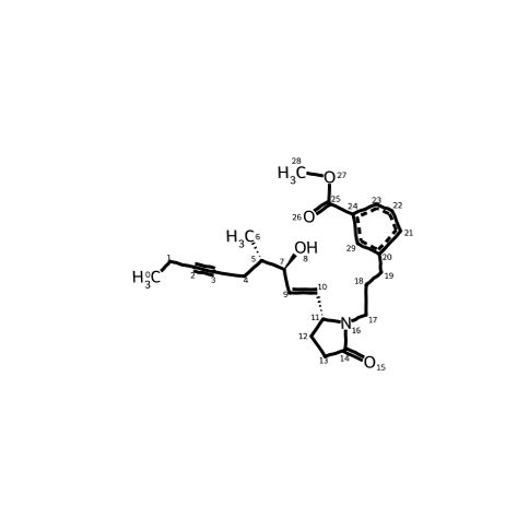 CCC#CC[C@H](C)[C@@H](O)C=C[C@H]1CCC(=O)N1CCCc1cccc(C(=O)OC)c1